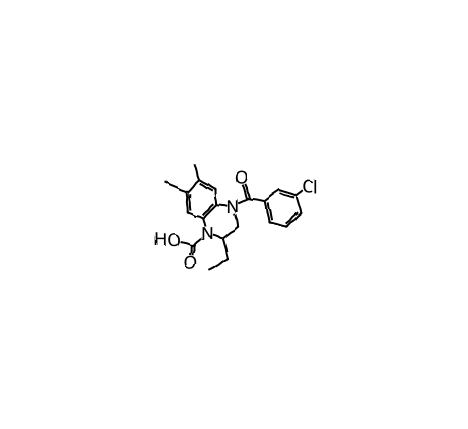 CCC1CN(C(=O)c2cccc(Cl)c2)c2cc(C)c(C)cc2N1C(=O)O